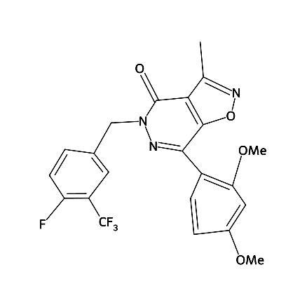 COc1ccc(-c2nn(Cc3ccc(F)c(C(F)(F)F)c3)c(=O)c3c(C)noc23)c(OC)c1